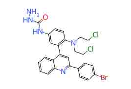 NNC(=O)Nc1ccc(N(CCCl)CCCl)c(-c2cc(-c3ccc(Br)cc3)nc3ccccc23)c1